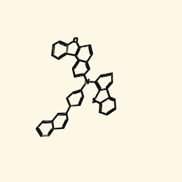 C1=CC(c2ccc3ccccc3c2)CC=C1N(c1ccc2c(ccc3oc4ccccc4c32)c1)c1cccc2c1sc1ccccc12